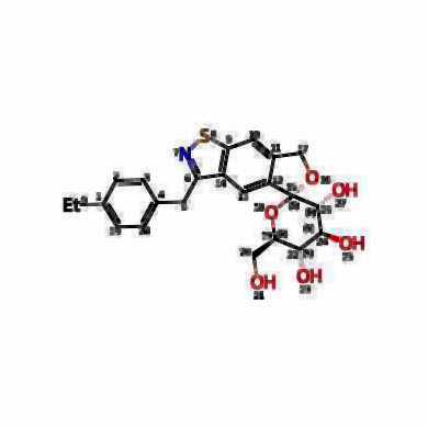 CCc1ccc(Cc2nsc3cc4c(cc23)[C@]2(OC4)O[C@H](CO)[C@@H](O)[C@H](O)[C@H]2O)cc1